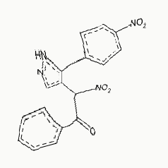 O=C(c1ccccc1)C(c1cn[nH]c1-c1ccc([N+](=O)[O-])cc1)[N+](=O)[O-]